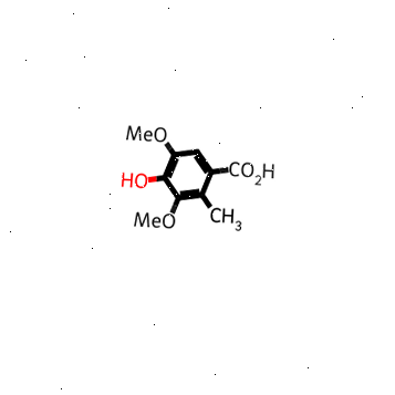 COc1cc(C(=O)O)c(C)c(OC)c1O